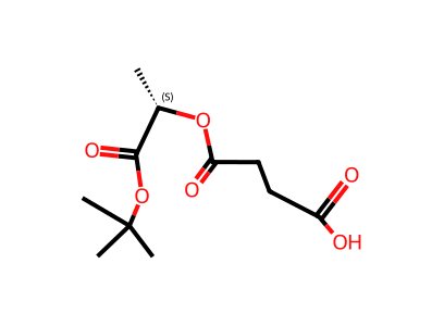 C[C@H](OC(=O)CCC(=O)O)C(=O)OC(C)(C)C